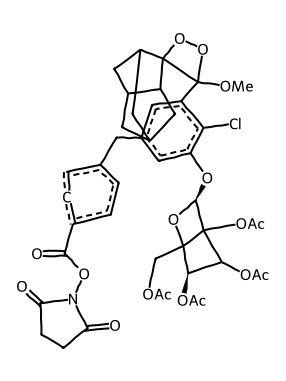 COC1(c2cc(Cc3ccc(C(=O)ON4C(=O)CCC4=O)cc3)cc(O[C@@H]3OC4(COC(C)=O)[C@H](OC(C)=O)C(OC(C)=O)C34OC(C)=O)c2Cl)OOC12C1CC3CC(C1)C2C3